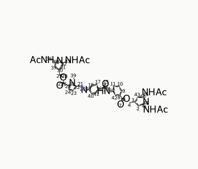 CC(=O)Nc1cc(COC(=O)c2cccc(NC(=O)c3ccc(/N=C/c4ccc(C(=O)OCc5cc(NC(C)=O)nc(NC(C)=O)c5)n4C)cc3)c2)cc(NC(C)=O)n1